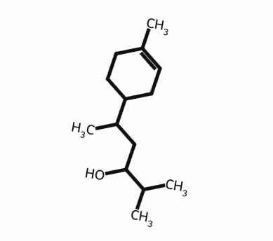 CC1=CCC(C(C)CC(O)C(C)C)CC1